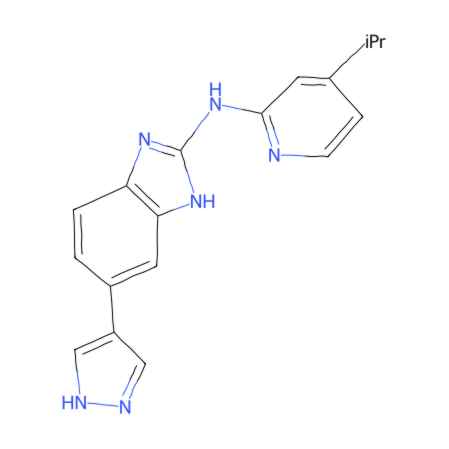 CC(C)c1ccnc(Nc2nc3ccc(-c4cn[nH]c4)cc3[nH]2)c1